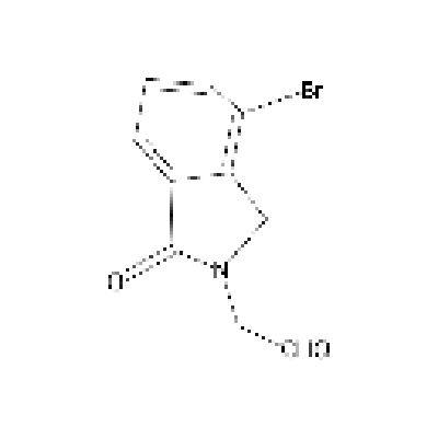 O=CCN1Cc2c(Br)cccc2C1=O